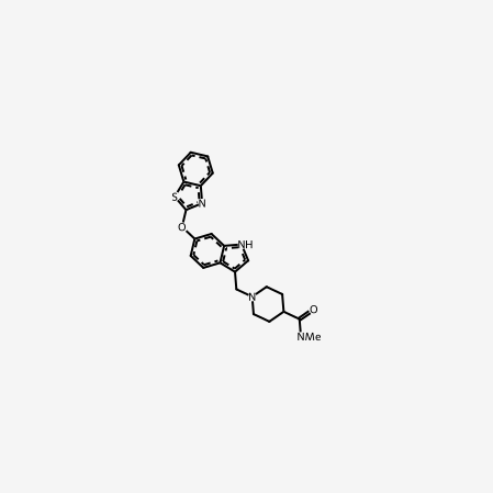 CNC(=O)C1CCN(Cc2c[nH]c3cc(Oc4nc5ccccc5s4)ccc23)CC1